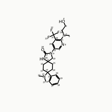 CN(CCO)c1ncc(N2CC3(CCC(c4ccccc4)(N(C)C)CC3)NC2=O)cc1C(F)(F)F